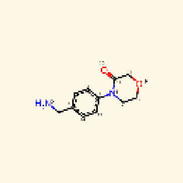 NCc1ccc(N2CCOCC2=O)cc1